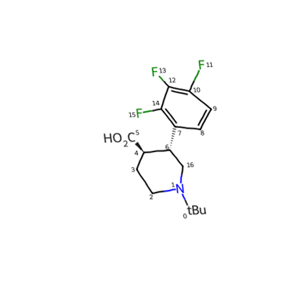 CC(C)(C)N1CC[C@@H](C(=O)O)[C@H](c2ccc(F)c(F)c2F)C1